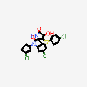 O=C1N[C@@]2(C(=O)N(c3cccc(Cl)c3)c3cc(Cl)ccc32)C(Sc2ccc(Cl)cc2)=C1O